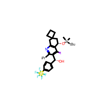 CC(C)c1nc2c(c(I)c1[C@H](O)c1ccc(S(F)(F)(F)(F)F)cc1)[C@@H](O[Si](C)(C)C(C)(C)C)CC1(CCC1)C2